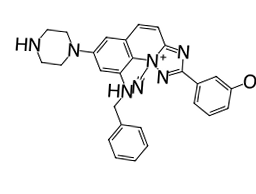 COc1cccc(C2=N[N+]3(C#N)C(=N2)C=Cc2cc(N4CCNCC4)cc(NCc4ccccc4)c23)c1